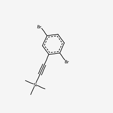 C[Si](C)(C)C#Cc1cc(Br)ccc1Br